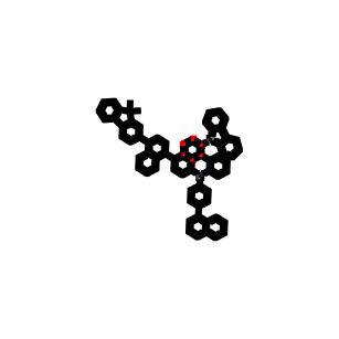 CC1(C)c2ccccc2-c2ccc(-c3ccc(-c4ccc(N(c5ccc(-c6cccc7ccccc67)cc5)c5ccccc5-c5ccccc5-n5c6ccccc6c6ccccc65)c5ccccc45)c4ccccc34)cc21